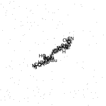 Cc1ncsc1-c1ccc(C(C)NC(=O)[C@@H]2C[C@@H](O)CN2C(=O)C(NC(=O)CCCN2CCN(c3ccc(C(=O)N[C@H]4C(C)(C)[C@H](Oc5ccc(C#N)c(Cl)c5)C4(C)C)cn3)CC2)C(C)(C)C)cc1